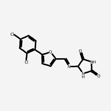 O=C1NC(=O)C(N=Cc2ccc(-c3ccc(Cl)cc3Cl)o2)N1